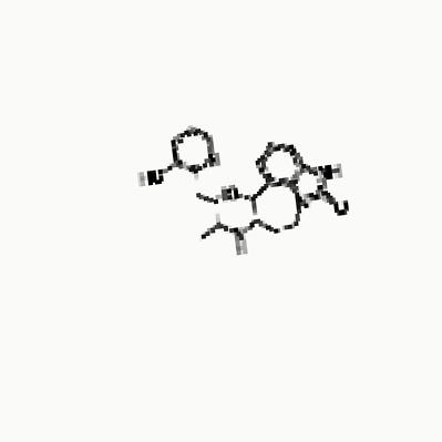 CC(CCc1ncccc1O)NC1CCn2c(=O)[nH]c3cccc(c32)C1O